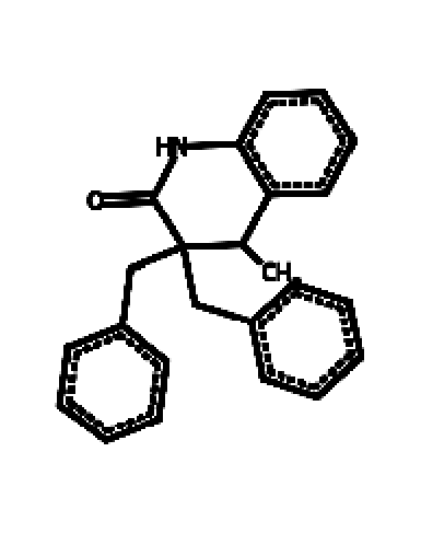 CC1c2ccccc2NC(=O)C1(Cc1ccccc1)Cc1ccccc1